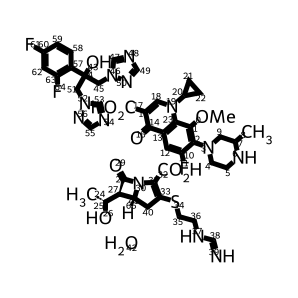 COc1c(N2CCNC(C)C2)c(F)cc2c(=O)c(C(=O)O)cn(C3CC3)c12.C[C@@H](O)[C@H]1C(=O)N2C(C(=O)O)=C(SCCNC=N)C[C@H]12.O.OC(Cn1cncn1)(Cn1cncn1)c1ccc(F)cc1F